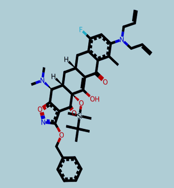 C=CCN(CC=C)c1cc(F)c2c(c1C)C(=O)C1=C(O)[C@]3(O[Si](C)(C)C(C)(C)C)C(=O)c4c(OCc5ccccc5)noc4[C@@H](N(C)C)[C@@H]3C[C@@H]1C2